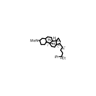 CC[C@H](CC[C@@H](C)[C@H]1CC[C@H]2[C@@H]3CCC4C[C@@H](NC)CC[C@]4(C)[C@H]3CC[C@]12C)C(C)C